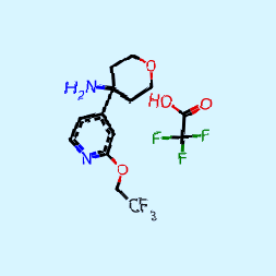 NC1(c2ccnc(OCC(F)(F)F)c2)CCOCC1.O=C(O)C(F)(F)F